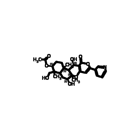 CC(=O)O[C@H]1CC[C@@]2(C)C(C[C@H](O)[C@@]3(C)Oc4cc(-c5cccnc5)oc(=O)c4[C@H](O)C23)C1(C)CO